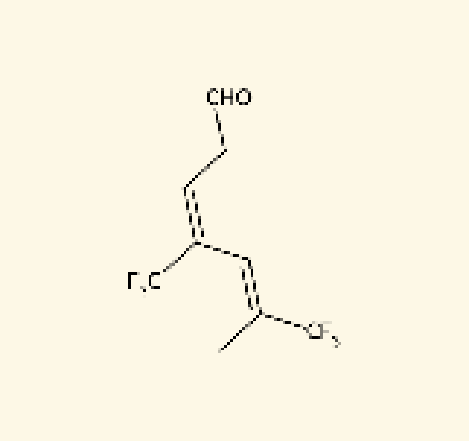 C/C(=C\C(=C/CC=O)C(F)(F)F)C(F)(F)F